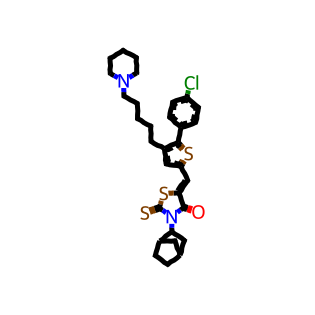 O=C1/C(=C/c2cc(CCCCCN3CCCCC3)c(-c3ccc(Cl)cc3)s2)SC(=S)N1C1CC2CCC1C2